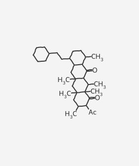 CC(=O)C1C(=O)C2(C)C(C)C3C(=O)C4C(C)CCC(CCC5CCCCC5)C4CC3(C)CC2(C)CC1C